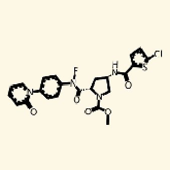 COC(=O)N1C[C@@H](NC(=O)c2ccc(Cl)s2)C[C@H]1C(=O)N(F)c1ccc(-n2ccccc2=O)cc1